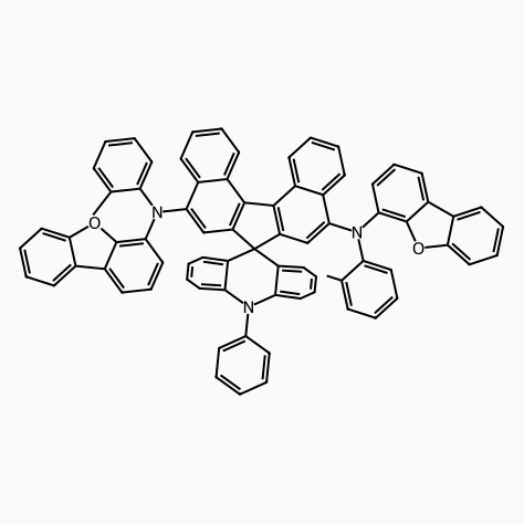 Cc1ccccc1N(c1cc2c(c3ccccc13)-c1c(cc(N(c3ccccc3C)c3cccc4c3oc3ccccc34)c3ccccc13)C21c2ccccc2N(c2ccccc2)c2ccccc21)c1cccc2c1oc1ccccc12